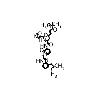 CC(C)Cc1cccc2[nH]c(Cn3cccc(NC(=O)C(CC/C=C/C(=O)N(C)C)NC(=O)c4cnco4)c3=O)nc12